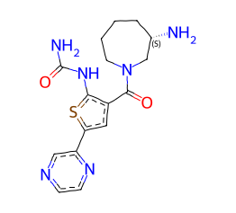 NC(=O)Nc1sc(-c2cnccn2)cc1C(=O)N1CCCC[C@H](N)C1